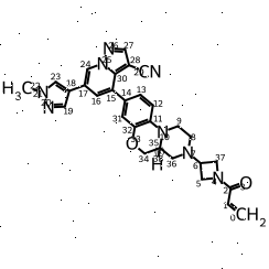 C=CC(=O)N1CC(N2CCN3c4ccc(-c5cc(-c6cnn(C)c6)cn6ncc(C#N)c56)cc4OC[C@H]3C2)C1